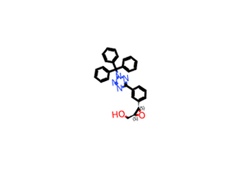 OC[C@@H]1O[C@H]1c1cccc(-c2nnn(C(c3ccccc3)(c3ccccc3)c3ccccc3)n2)c1